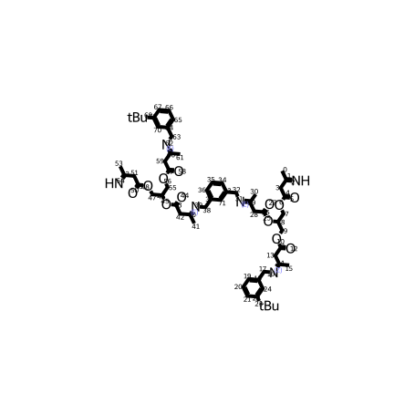 CC(=N)CC(=O)OCC(COC(=O)C/C(C)=N\Cc1cccc(C(C)(C)C)c1)OC(=O)C/C(C)=N/Cc1cccc(C/N=C(\C)CC(=O)OC(COC(=O)CC(C)=N)COC(=O)C/C(C)=N/Cc2cccc(C(C)(C)C)c2)c1